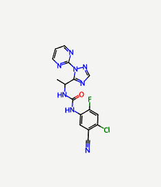 CC(NC(=O)Nc1cc(C#N)c(Cl)cc1F)c1ncnn1-c1ncccn1